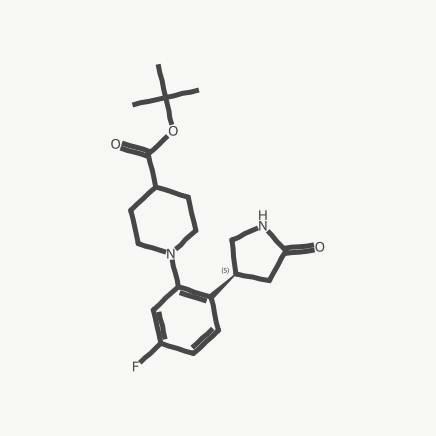 CC(C)(C)OC(=O)C1CCN(c2cc(F)ccc2[C@H]2CNC(=O)C2)CC1